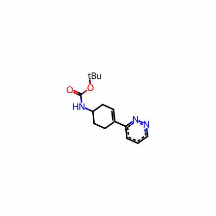 CC(C)(C)OC(=O)NC1CC=C(c2cccnn2)CC1